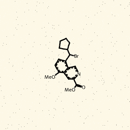 COC(=O)c1cc2c(OC)ccc(C(Br)C3CCCC3)c2cn1